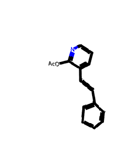 CC(=O)Oc1ncccc1C=Cc1ccccc1